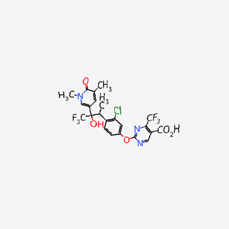 Cc1cc([C@@](O)([C@@H](C)c2ccc(Oc3ncc(C(=O)O)c(C(F)(F)F)n3)cc2Cl)C(F)(F)F)cn(C)c1=O